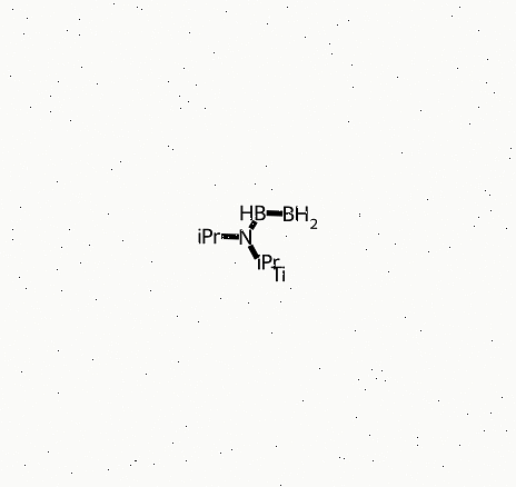 BBN(C(C)C)C(C)C.[Ti]